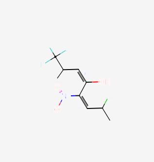 CC(Cl)/C=C(\C(O)=C/C(C)C(F)(F)F)[N+](=O)[O-]